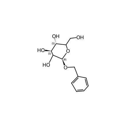 OCC1O[C@@H](OCc2ccccc2)C(O)[C@@H](O)[C@@H]1O